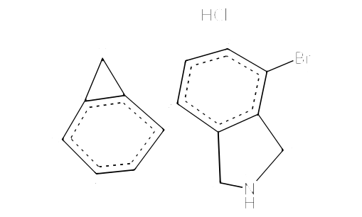 Brc1cccc2c1CNC2.Cl.c1ccc2c(c1)C2